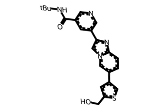 CC(C)(C)NC(=O)c1cncc(-c2cn3cc(-c4csc(CO)c4)ccc3n2)c1